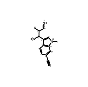 C#Cc1ccc2c(C(N)C(C)C=N)cn(C)c2c1